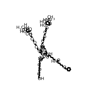 CC(=O)N[C@H]1[C@H]2OC[C@](COCCOCCOCCOCCn3cc(COCC(COCc4cn(CCOCCOCCOCCO)nn4)(COCc4cn(CCOCCOCCOCCOC[C@@]56CO[C@@H](O5)[C@H](NC(C)=O)[C@@H](O)[C@H]6O)nn4)NC(=O)CCCCCNC(=O)CCCCCOCc4ccccc4)nn3)(O2)[C@H](O)[C@@H]1O